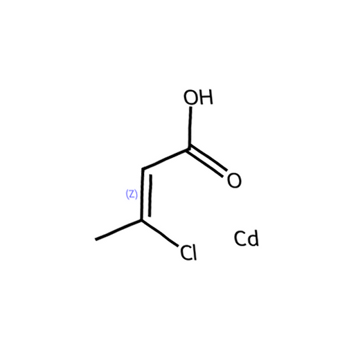 C/C(Cl)=C/C(=O)O.[Cd]